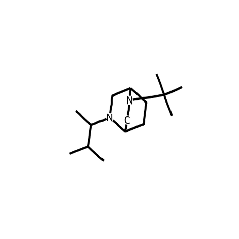 CC(C)C(C)N1CC2CCC1CN2C(C)(C)C